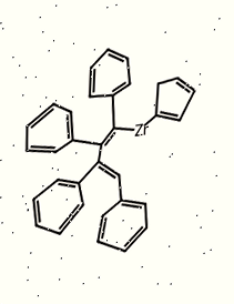 C1=CC[C]([Zr][C](=C(C(=Cc2ccccc2)c2ccccc2)c2ccccc2)c2ccccc2)=C1